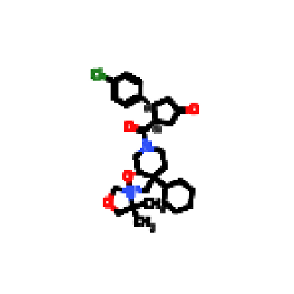 CC1(C)COC[N+]1([O-])CC1(C2CCCCC2)CCN(C(=O)[C@@H]2CC(=O)C[C@H]2c2ccc(Cl)cc2)CC1